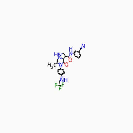 CC1=CN2NCC(C(=O)Nc3cccc(C#N)c3)C2C(=O)N1c1ccc(NCC(F)(F)F)cc1